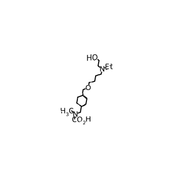 CCN(CCO)CCCCOCC1CCC(CN(C)C(=O)O)CC1